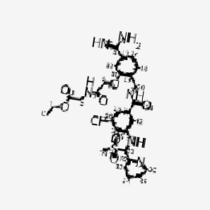 CCOC(=O)CNC(=O)COc1cc(C(=N)N)ccc1CNC(=O)c1cc(Cl)cc(NC(c2ccccn2)S(C)(=O)=O)c1